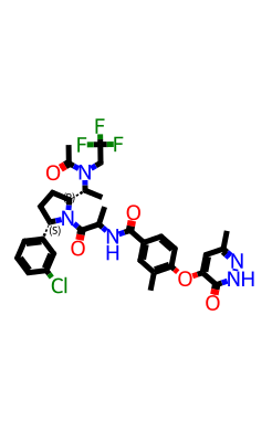 CC(=O)N(CC(F)(F)F)C(C)[C@H]1CC[C@@H](c2cccc(Cl)c2)N1C(=O)C(C)NC(=O)c1ccc(Oc2cc(C)n[nH]c2=O)c(C)c1